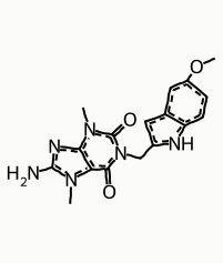 COc1ccc2[nH]c(Cn3c(=O)c4c(nc(N)n4C)n(C)c3=O)cc2c1